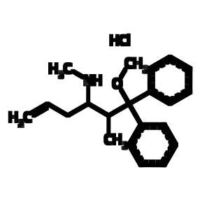 C=CCC(NC)C(C)C(OC)(c1ccccc1)c1ccccc1.Cl